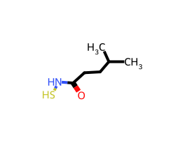 CC(C)CCC(=O)NS